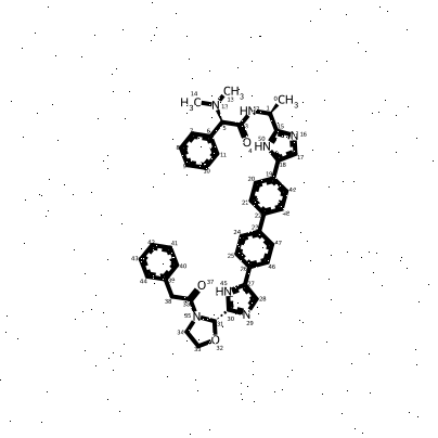 C[C@H](NC(=O)[C@@H](c1ccccc1)N(C)C)c1ncc(-c2ccc(-c3ccc(-c4cnc([C@@H]5OCCN5C(=O)Cc5ccccc5)[nH]4)cc3)cc2)[nH]1